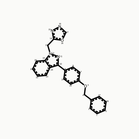 c1ccc(COc2ccc(-c3nn(Cc4nnco4)c4ccccc34)cc2)cc1